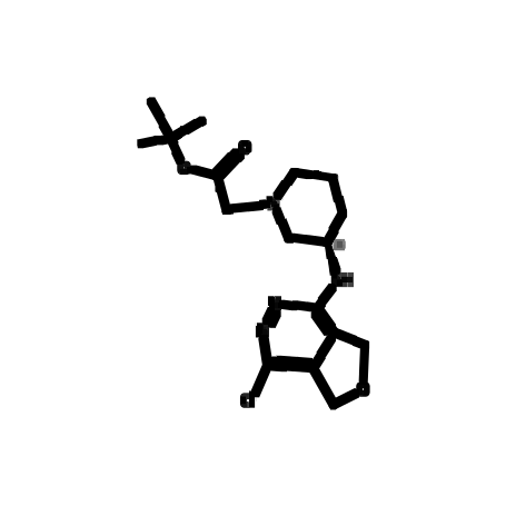 CC(C)(C)OC(=O)CN1CCC[C@@H](Nc2nnc(Cl)c3c2COC3)C1